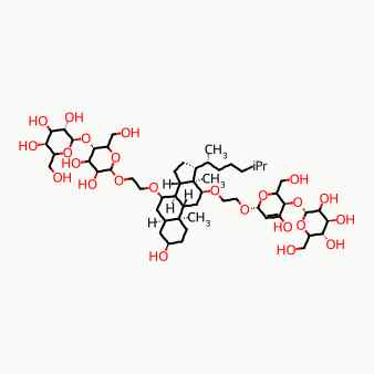 CC(C)CCC[C@@H](C)[C@H]1CC[C@H]2[C@@H]3[C@H](OCCO[C@@H]4OC(CO)[C@@H](O[C@H]5OC(CO)[C@@H](O)C(O)[C@@H]5O)C(O)[C@@H]4O)C[C@@H]4C[C@H](O)CC[C@]4(C)[C@H]3C[C@H](OCCO[C@H]3C=C(O)[C@H](O[C@H]4OC(CO)[C@@H](O)[C@H](O)C4O)C(CO)O3)[C@]12C